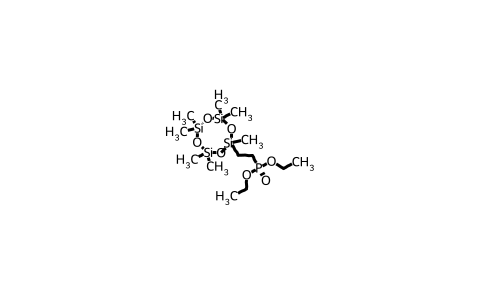 CCOP(=O)(CC[Si]1(C)O[Si](C)(C)O[Si](C)(C)O[Si](C)(C)O1)OCC